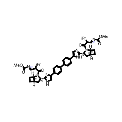 COC(=O)/N=C/C(C(=O)N1[C@@H]2CC[C@@H]2C[C@H]1c1nc(-c2ccc(-c3ccc(-c4cnc([C@@H]5C[C@H]6CC[C@H]6N5C(=O)C(/C=N/C(=O)OC)C(C)C)[nH]4)cc3)cc2)c[nH]1)C(C)C